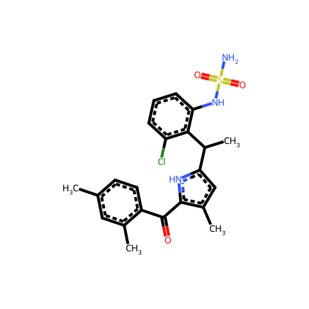 Cc1ccc(C(=O)c2[nH]c(C(C)c3c(Cl)cccc3NS(N)(=O)=O)cc2C)c(C)c1